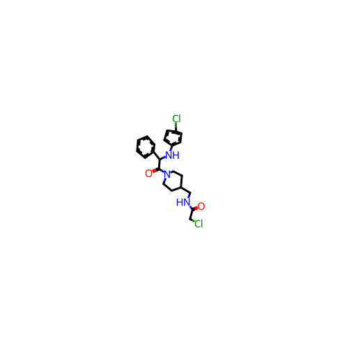 O=C(CCl)NCC1CCN(C(=O)C(Nc2ccc(Cl)cc2)c2ccccc2)CC1